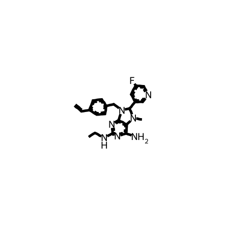 C=Cc1ccc(CN2c3nc(NCC)nc(N)c3N(C)C2c2cncc(F)c2)cc1